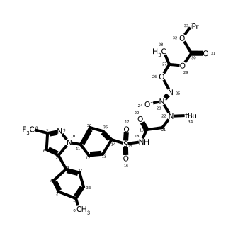 Cc1ccc(-c2cc(C(F)(F)F)nn2-c2ccc(S(=O)(=O)NC(=O)CN([N+]([O-])=NOC(C)OC(=O)OC(C)C)C(C)(C)C)cc2)cc1